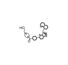 O=C(c1ccc(-c2ccc3nnn(Cc4cccc5cccnc45)c3n2)cc1)N1CCN(CCO)CC1